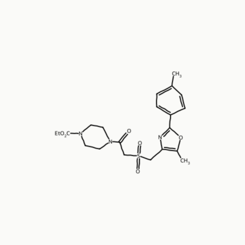 CCOC(=O)N1CCN(C(=O)CS(=O)(=O)Cc2nc(-c3ccc(C)cc3)oc2C)CC1